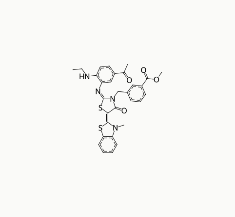 CCNc1ccc(C(C)=O)cc1/N=C1/S/C(=C2\Sc3ccccc3N2C)C(=O)N1Cc1cccc(C(=O)OC)c1